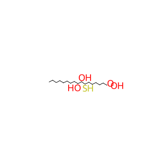 CCCCCCCCC(O)C(O)C(S)CCCCCCOO